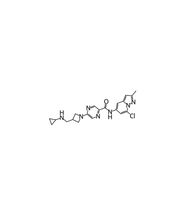 Cc1cc2cc(NC(=O)c3cnc(N4CC(CNC5CC5)C4)cn3)cc(Cl)n2n1